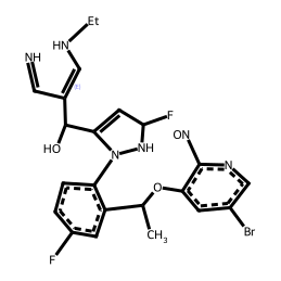 CCN/C=C(\C=N)C(O)C1=CC(F)NN1c1ccc(F)cc1C(C)Oc1cc(Br)cnc1N=O